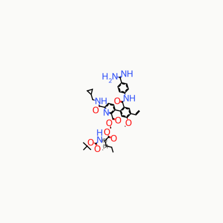 C=Cc1cc(C(=O)Nc2ccc(C(=N)N)cc2)c(-c2ccc(C(=O)NCC3CC3)nc2C(=O)OCOC(=O)[C@@H](NC(=O)OC(C)(C)C)[C@@H](C)CC)cc1OC